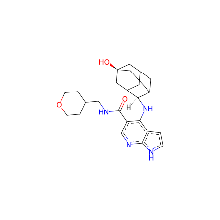 O=C(NCC1CCOCC1)c1cnc2[nH]ccc2c1N[C@H]1C2CC3CC1C[C@@](O)(C3)C2